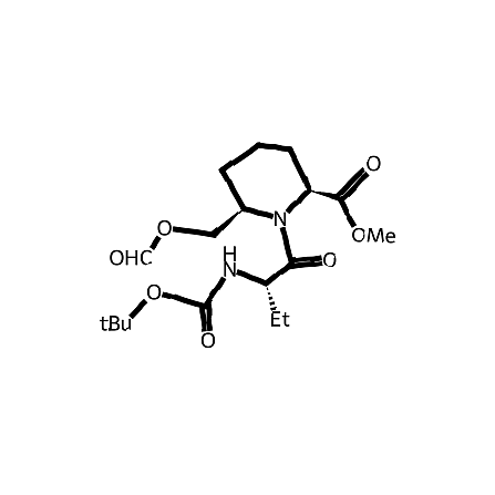 CC[C@H](NC(=O)OC(C)(C)C)C(=O)N1[C@@H](COC=O)CCC[C@H]1C(=O)OC